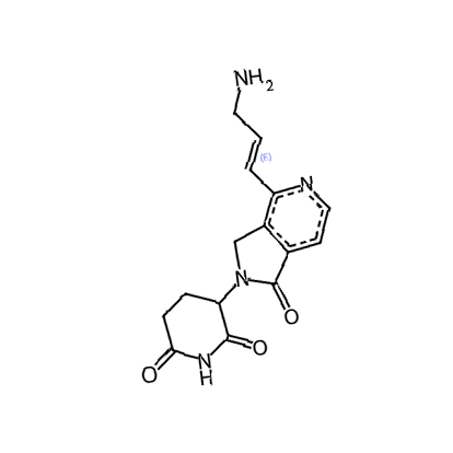 NC/C=C/c1nccc2c1CN(C1CCC(=O)NC1=O)C2=O